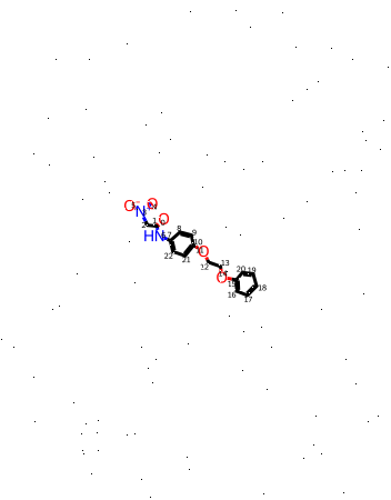 O=C(C[N+](=O)[O-])Nc1ccc(OCCOc2ccccc2)cc1